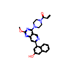 C=CC(=O)N1CCN(c2nc(OC)nc3cc(-c4cc(O)cc5ccccc45)ncc23)CC1